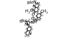 CNc1ncc2cc(-c3cc(NC(=O)Nc4cc(C(C)(C)C)nn4-c4ccc5ncccc5c4)ccc3C)c(=O)n(C)c2n1